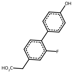 O=C(O)Cc1ccc(-c2ccc(O)cc2)c(F)c1